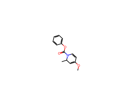 COC1=CC(C)N(C(=O)Oc2ccccc2)C=C1